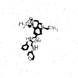 CCN1c2cc(C(=O)N[C@@H](Cc3ccccc3)[C@H](O)CNC3CCOCC3)cc3c2c(cn3CC)C=CS1(=O)=O